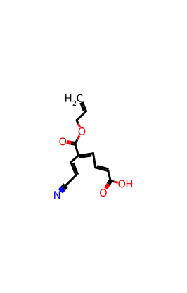 C=CCOC(=O)C(C=CC#N)=CC=CC(=O)O